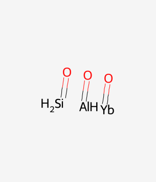 O=[SiH2].[O]=[AlH].[O]=[Yb]